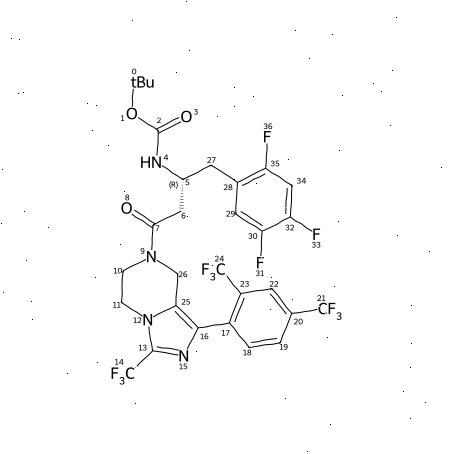 CC(C)(C)OC(=O)N[C@@H](CC(=O)N1CCn2c(C(F)(F)F)nc(-c3ccc(C(F)(F)F)cc3C(F)(F)F)c2C1)Cc1cc(F)c(F)cc1F